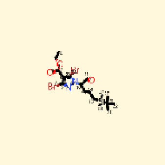 CCOC(=O)c1c(Br)nn(C(C=O)CCC[Si](C)(C)C(C)(C)C)c1Br